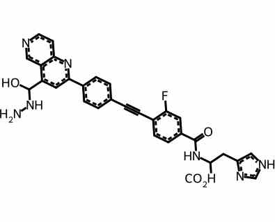 NNC(O)c1cc(-c2ccc(C#Cc3ccc(C(=O)NC(Cc4c[nH]cn4)C(=O)O)cc3F)cc2)nc2ccncc12